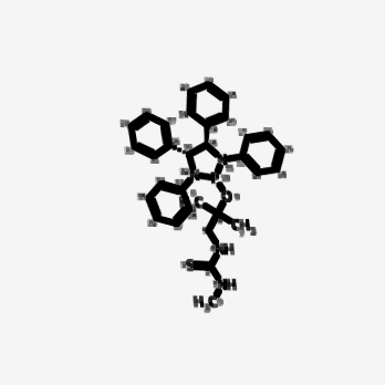 CNC(=S)NCC(C)(C)OP1N(c2ccccc2)[C@H](c2ccccc2)[C@@H](c2ccccc2)N1c1ccccc1